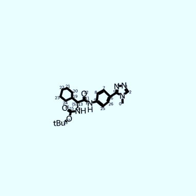 Cn1cnnc1-c1ccc(NC(=O)[C@@H](NC(=O)OC(C)(C)C)C2CCCCC2)cc1